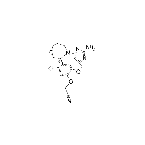 COc1cc([C@H]2COCCCN2c2cc(C)nc(N)n2)c(Cl)cc1OCC#N